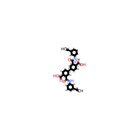 C#Cc1cccc(NC(=O)c2cc(-c3ccc(C(=O)O)c(C(=O)Nc4cccc(C#C)c4)c3)ccc2C(=O)O)c1